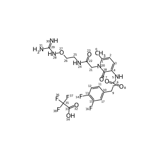 Cc1ccc(NS(=O)(=O)Cc2ccc(F)c(F)c2)c(=O)n1CC(=O)NCCONC(=N)N.O=C(O)C(F)(F)F